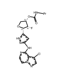 CC(C)NC(=O)O[C@H]1CO[C@@H](c2cc(Nc3nccn4ncc(Cl)c34)n[nH]2)[C@H]1F